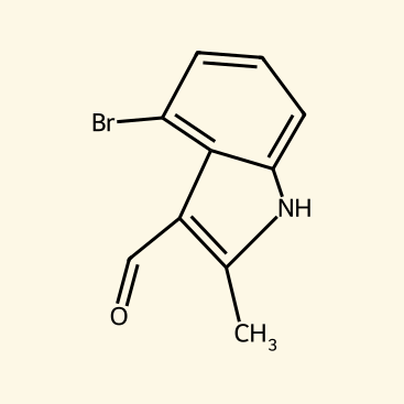 Cc1[nH]c2cccc(Br)c2c1C=O